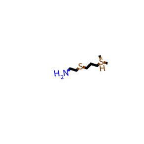 C[SH](C)CCCSCCN